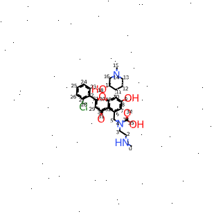 CNCCN(Cc1cc(O)c([C@H]2CCN(C)C[C@H]2O)c2oc(-c3ccccc3Cl)cc(=O)c12)C(=O)O